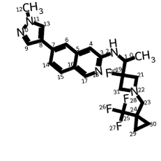 CC(Nc1cc2cc(-c3cnn(C)c3)ccc2cn1)C1(F)CN(CC2(C(F)(F)F)CC2)C1